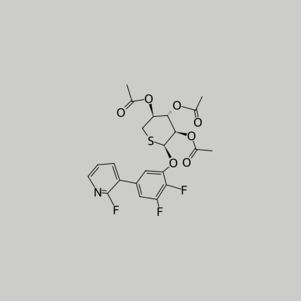 CC(=O)O[C@@H]1[C@@H](OC(C)=O)[C@@H](Oc2cc(-c3cccnc3F)cc(F)c2F)SC[C@H]1OC(C)=O